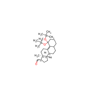 C[C@]12CCC3=C4C(CCCC4(O[Si](C)(C)C)O[Si](C)(C)C)CC[C@H]3[C@@H]1CC[C@H]2C=O